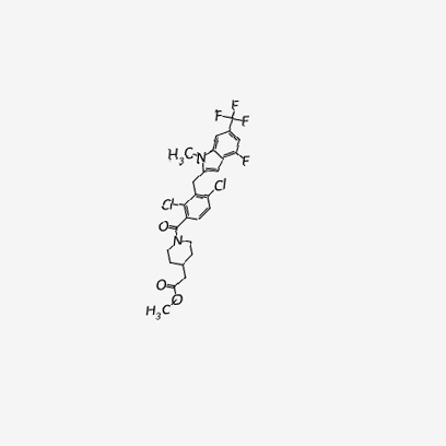 COC(=O)CC1CCN(C(=O)c2ccc(Cl)c(Cc3cc4c(F)cc(C(F)(F)F)cc4n3C)c2Cl)CC1